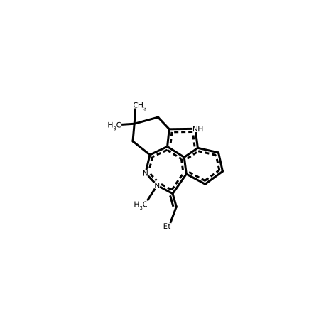 CC/C=c1/c2cccc3[nH]c4c(c(nn1C)CC(C)(C)C4)c32